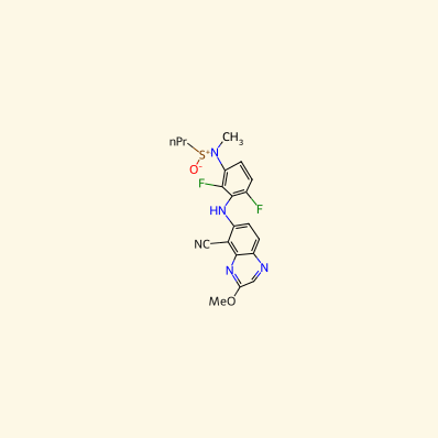 CCC[S+]([O-])N(C)c1ccc(F)c(Nc2ccc3ncc(OC)nc3c2C#N)c1F